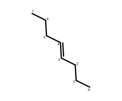 C[CH]CC=CCCC